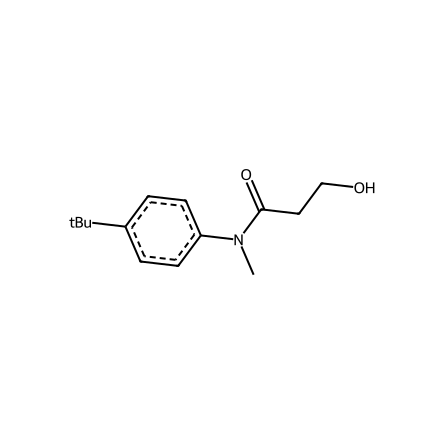 CN(C(=O)CCO)c1ccc(C(C)(C)C)cc1